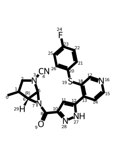 CC1CN(C#N)C2[C@@H]1N2C(=O)c1cc(-c2ccncc2Sc2ccc(F)cc2)[nH]n1